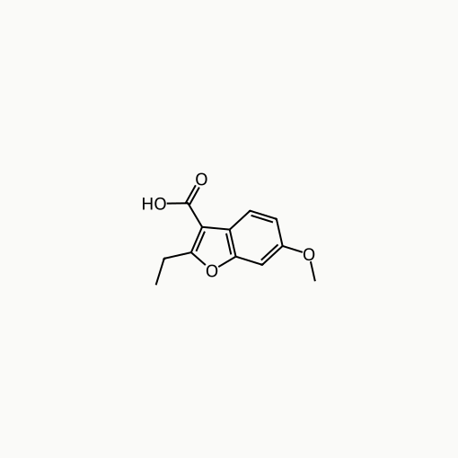 CCc1oc2cc(OC)ccc2c1C(=O)O